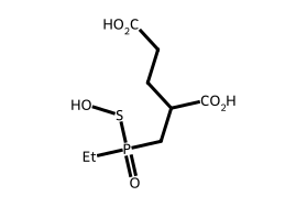 CCP(=O)(CC(CCC(=O)O)C(=O)O)SO